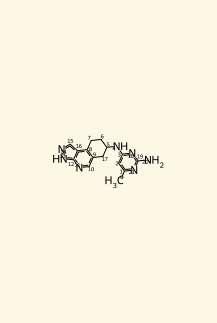 Cc1cc(NC2CCc3c(cnc4[nH]ncc34)C2)nc(N)n1